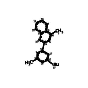 Cc1cc(-c2cc(C)c3ccccc3n2)cc(C(C)(C)C)c1